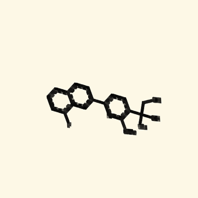 COc1nc(-c2ccc3cccc(F)c3c2)ccc1C(O)(CO)C(C)(C)C